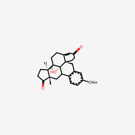 COc1ccc2c(c1)C[C@]13CCC(=O)C=C1CC[C@H]1[C@@H]4CCC(=O)[C@@]4(C)CC2[C@@]13O